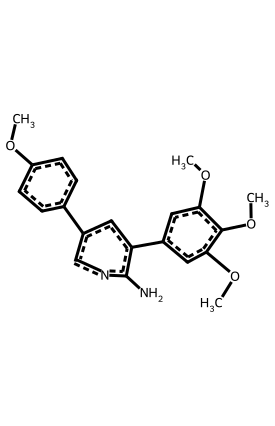 COc1ccc(-c2cnc(N)c(-c3cc(OC)c(OC)c(OC)c3)c2)cc1